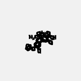 CC(C)(C)[C@@H]1Cc2cc(O[C@@H]3CCOC3)c(Cl)cc2-c2cc(=O)c(C(=O)O)cn21